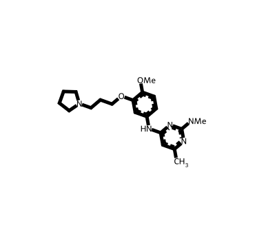 CNc1nc(C)cc(Nc2ccc(OC)c(OCCCN3CCCC3)c2)n1